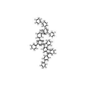 c1ccc(C2=NC(c3cccc(-c4ccccc4)c3)NC(c3cccc(-c4nc(-c5ccccc5)nc(-n5c6ccccc6c6c7c8ccccc8n(-c8ccc(-c9ccccc9)cc8)c7ccc65)n4)c3)=N2)cc1